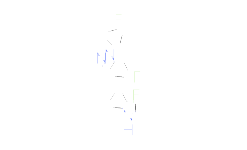 Fc1ccc(-n2ncc3cc(C(c4cccc5[nH]ccc45)C(F)(F)F)ccc32)cc1